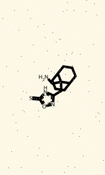 NCC1(Cc2noc(=S)[nH]2)C2CCCC1CCC2